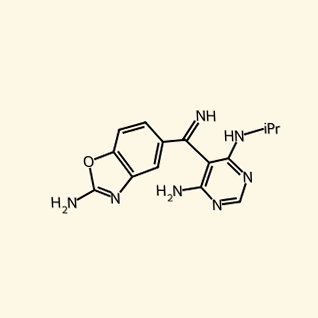 CC(C)Nc1ncnc(N)c1C(=N)c1ccc2oc(N)nc2c1